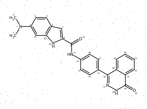 CN(C)c1ccc2cc(C(=O)Nc3ccc(-c4n[nH]c(=O)c5ccccc45)cc3)[nH]c2c1